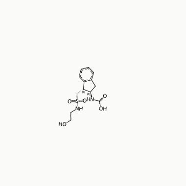 O=C(O)N[C@@H]1Cc2ccccc2[C@H]1CS(=O)(=O)NCCO